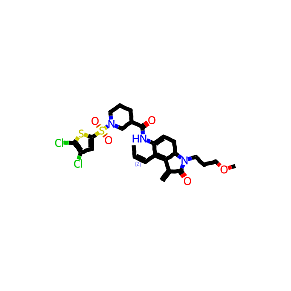 C=C1C(=O)N(CCCOC)C2CC=C(NC(=O)C3CCCN(S(=O)(=O)c4cc(Cl)c(Cl)s4)C3)C(/C=C\C)=C12